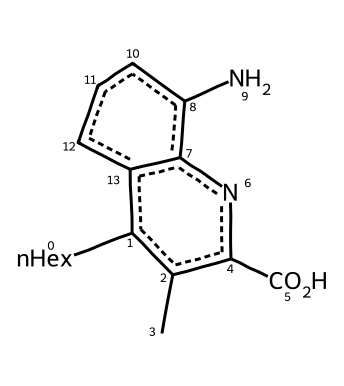 CCCCCCc1c(C)c(C(=O)O)nc2c(N)cccc12